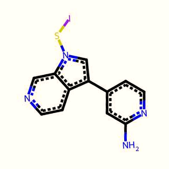 Nc1cc(-c2cn(SI)c3cnccc23)ccn1